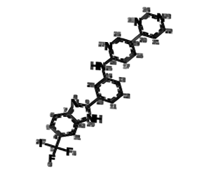 FC(F)(F)c1ccc2nc(-c3cccc(Nc4ccc(-c5ccncn5)cn4)c3)[nH]c2c1